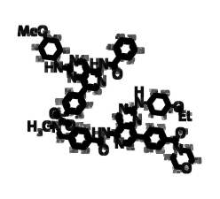 CCO[C@H]1CC[C@H](Nc2ncc3c(NC(=O)c4ccc(CN(C)S(=O)(=O)c5ccc(-c6cnc(NC(=O)c7ccccc7)c7cnc(N[C@H]8CC[C@H](OC)CC8)nc67)cc5)cc4)ncc(-c4ccc(C(=O)N5CCOCC5)cc4)c3n2)CC1